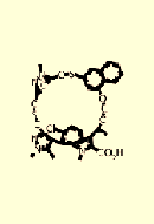 Cc1c2c(nn1C)CSCc1cc(n(C)n1)CSc1cc(c3ccccc3c1)OCCC(C)c1c(C(=O)O)n(C)c3c-2c(Cl)ccc13